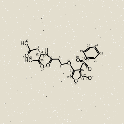 O=C(O)C[C@H](NC(=O)CCOc1no[n+]([O-])c1S(=O)(=O)c1ccccc1)C(=O)O